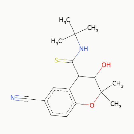 CC(C)(C)NC(=S)C1c2cc(C#N)ccc2OC(C)(C)C1O